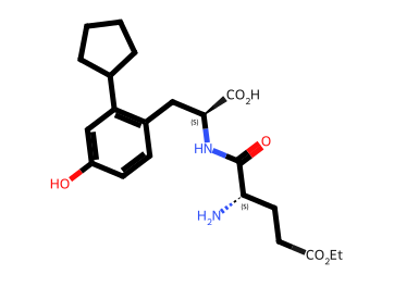 CCOC(=O)CC[C@H](N)C(=O)N[C@@H](Cc1ccc(O)cc1C1CCCC1)C(=O)O